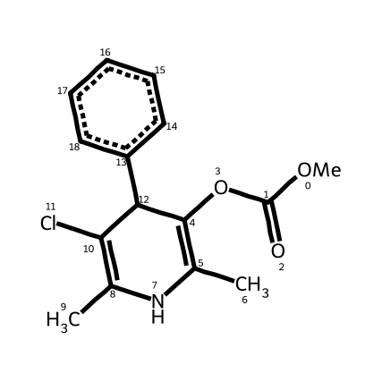 COC(=O)OC1=C(C)NC(C)=C(Cl)C1c1ccccc1